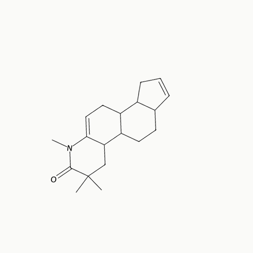 CN1C(=O)C(C)(C)CC2C1=CCC1C3CC=CC3CCC21